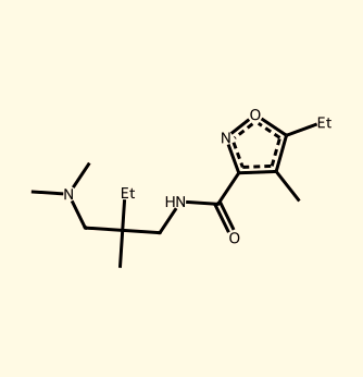 CCc1onc(C(=O)NCC(C)(CC)CN(C)C)c1C